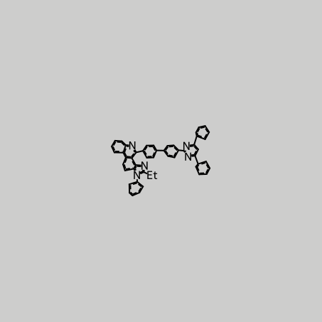 CCc1nc2c3c(-c4ccc(-c5ccc(-c6nc(-c7ccccc7)cc(-c7ccccc7)n6)cc5)cc4)nc4ccccc4c3ccc2n1-c1ccccc1